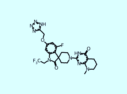 CN1CCCc2c1nc(N1CCC3(CC1)C(=O)N(CC(F)(F)F)c1cc(OCc4nnn[nH]4)cc(F)c13)[nH]c2=O